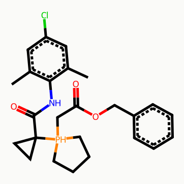 Cc1cc(Cl)cc(C)c1NC(=O)C1([PH]2(CC(=O)OCc3ccccc3)CCCC2)CC1